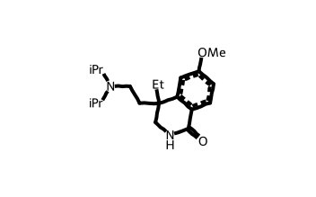 CCC1(CCN(C(C)C)C(C)C)CNC(=O)c2ccc(OC)cc21